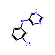 Nc1cccc(Nc2cncnc2)c1